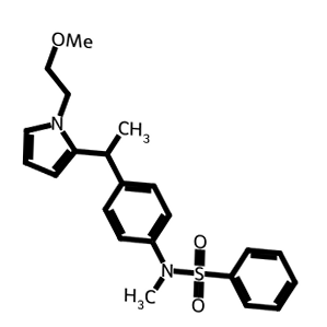 COCCn1cccc1C(C)c1ccc(N(C)S(=O)(=O)c2ccccc2)cc1